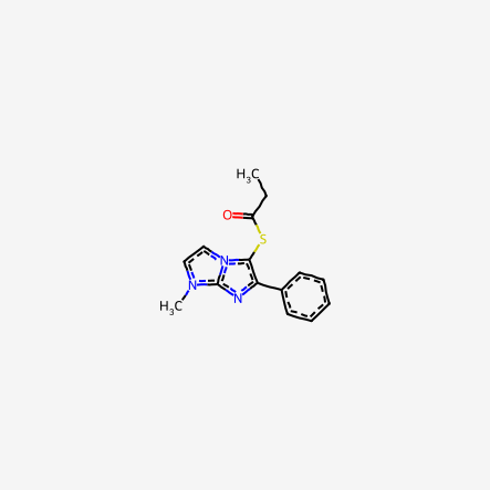 CCC(=O)Sc1c(-c2ccccc2)nc2n(C)ccn12